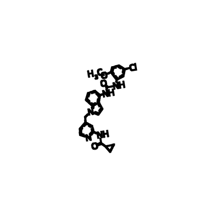 COc1ccc(Cl)cc1NC(=O)Nc1cccc2c1ccn2Cc1ccnc(NC(=O)C2CC2)c1